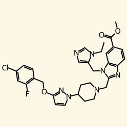 CCn1cncc1Cn1c(CN2CCC(n3ccc(OCc4ccc(Cl)cc4F)n3)CC2)nc2ccc(C(=O)OC)cc21